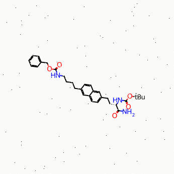 CC(C)(C)OC(=O)N[C@@H](CCc1ccc2cc(CCCCNC(=O)OCc3ccccc3)ccc2c1)C(N)=O